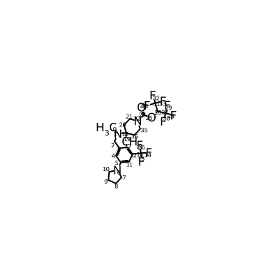 CN(Cc1cc(N2CCCC2)cc(C(F)(F)F)c1)C1(C)CCN(C(=O)OC(C(F)(F)F)C(F)(F)F)CC1